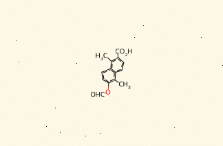 Cc1c(OC=O)ccc2c(C)c(C(=O)O)ccc12